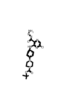 CC(C)(C)OC(=O)N1CCN(c2ccc(Nc3nc(Cl)cnc3C(=O)N=NN)cc2)CC1